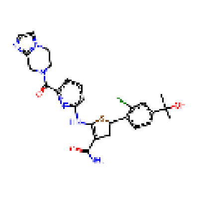 CC(C)(O)c1ccc(C2CC(C(N)=O)=C(Nc3cccc(C(=O)N4CCn5ccnc5C4)n3)S2)c(F)c1